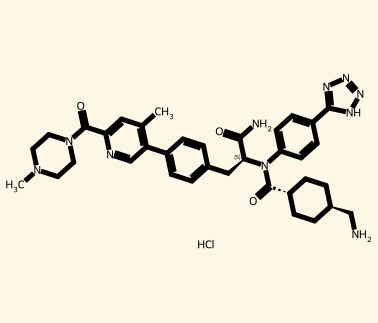 Cc1cc(C(=O)N2CCN(C)CC2)ncc1-c1ccc(C[C@@H](C(N)=O)N(c2ccc(-c3nnn[nH]3)cc2)C(=O)[C@H]2CC[C@H](CN)CC2)cc1.Cl